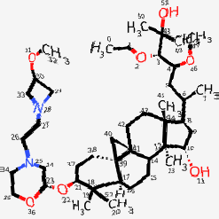 CCO[C@@H](C(C[C@@H](C)[C@H]1C[C@H](O)[C@@]2(C)C3CC[C@H]4C(C)(C)[C@@H](O[C@H]5CN(CCN6CC(OC)C6)CCO5)CC[C@@]45C[C@@]35CC[C@]12C)OC)C(C)(C)O